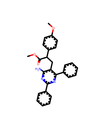 COC(=O)C(Cc1c(N)nc(-c2ccccc2)nc1-c1ccccc1)c1ccc(OC)cc1